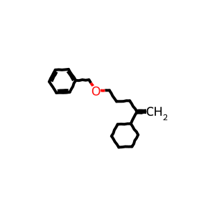 C=C(CCCOCc1ccccc1)C1CCCCC1